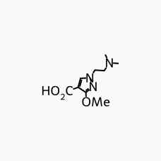 COc1nn(CCN(C)C)cc1C(=O)O